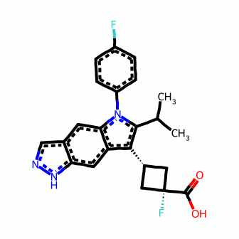 CC(C)c1c([C@H]2C[C@](F)(C(=O)O)C2)c2cc3[nH]ncc3cc2n1-c1ccc(F)cc1